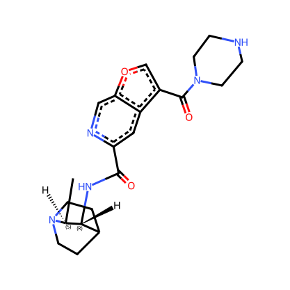 C[C@H]1[C@H](NC(=O)c2cc3c(C(=O)N4CCNCC4)coc3cn2)C2CCN1CC2